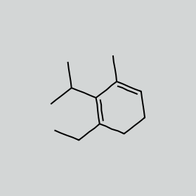 CCC1=C(C(C)C)C(C)=CCC1